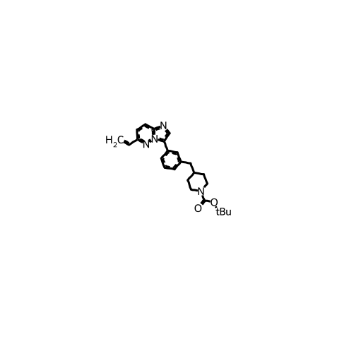 C=Cc1ccc2ncc(-c3cccc(CC4CCN(C(=O)OC(C)(C)C)CC4)c3)n2n1